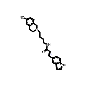 N#Cc1ccc2c(c1)CCN(CCCCNC(=O)/C=C/c1ccc3[nH]ccc3c1)C2